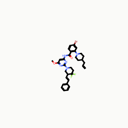 C=CCC1CCN(c2cc(Br)ccc2C(=O)Nc2cc(OC)nc(N3CCC(F)(F)C(/C=C/c4ccccc4)C3)n2)CC1